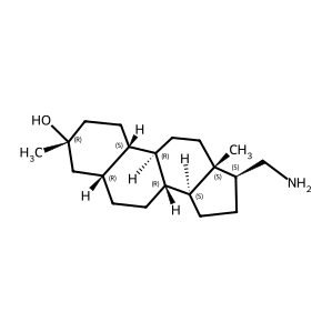 C[C@@]1(O)CC[C@H]2[C@H](CC[C@@H]3[C@@H]2CC[C@]2(C)[C@@H](CN)CC[C@@H]32)C1